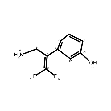 NCC(=C(F)F)c1cccc(O)c1